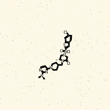 C[C@@H]1CN(S(=O)(=O)c2cc3ccc(Cl)cc3s2)CC(=O)N1CC1CCN(c2ccnc(N(C)C)n2)CC1